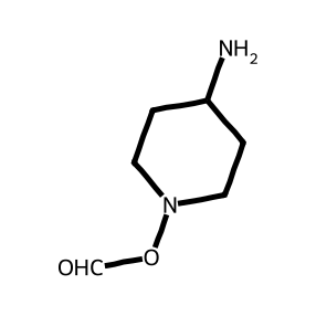 NC1CCN(OC=O)CC1